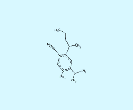 CCCC(C)c1cc(C(C)C)c(P)cc1C#N